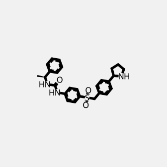 C[C@H](NC(=O)Nc1ccc(S(=O)(=O)Cc2ccc(C3CCCN3)cc2)cc1)c1ccccc1